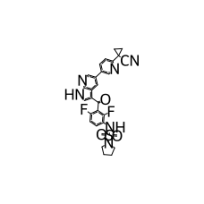 N#CC1(c2ccc(-c3cnc4[nH]cc(C(=O)c5c(F)ccc(NS(=O)(=O)N6CCCC6)c5F)c4c3)cn2)CC1